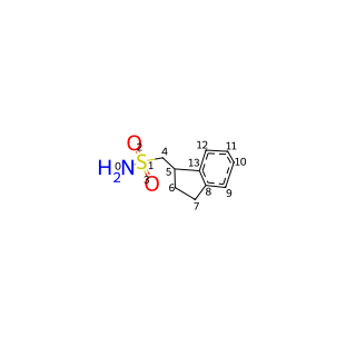 NS(=O)(=O)CC1CCc2ccccc21